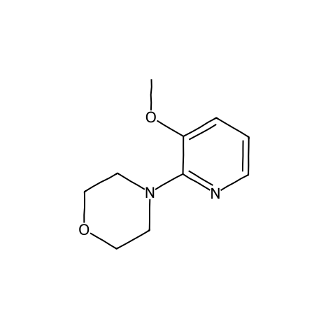 COc1cccnc1N1CCOCC1